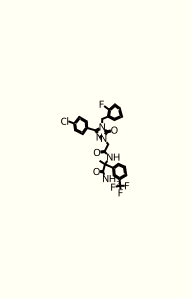 CC(NC(=O)Cn1nc(-c2ccc(Cl)cc2)n(Cc2ccccc2F)c1=O)(C(N)=O)c1cccc(C(F)(F)F)c1